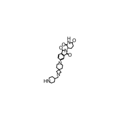 O=C1CCC(N2C(=O)c3ccc(N4CCC5(CC4)CN(CC4CCNCC4)C5)cc3C2=O)C(=O)N1